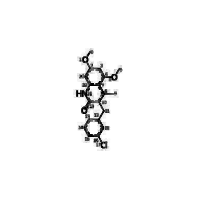 COc1cc(OC)c2c(C)c(Cc3cccc(Cl)c3)c(=O)[nH]c2c1